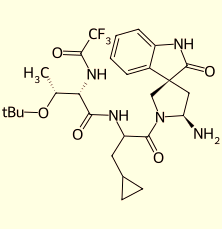 C[C@@H](OC(C)(C)C)[C@H](NC(=O)C(F)(F)F)C(=O)NC(CC1CC1)C(=O)N1C[C@]2(C[C@H]1N)C(=O)Nc1ccccc12